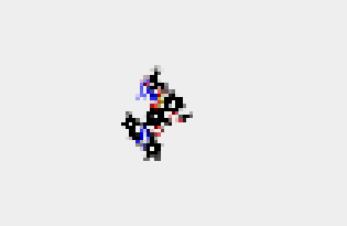 CCOCc1cc(Cn2c(CC3CCC3)nc3c(c2=O)CCC3)ccc1-c1ccccc1S(=O)(=O)Nc1noc(C)c1C